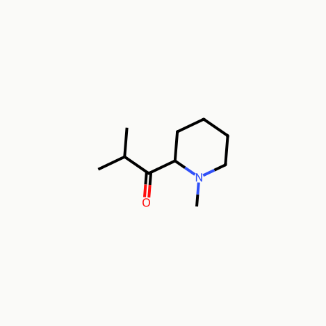 CC(C)C(=O)C1CCCCN1C